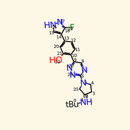 CC(C)(C)N[C@H]1CCN(c2ncc(-c3ccc(-c4c[nH]nc4F)cc3O)nn2)C1